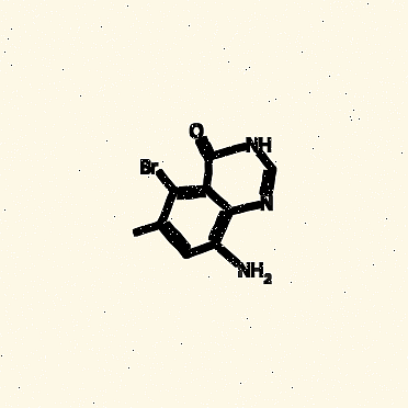 Cc1cc(N)c2nc[nH]c(=O)c2c1Br